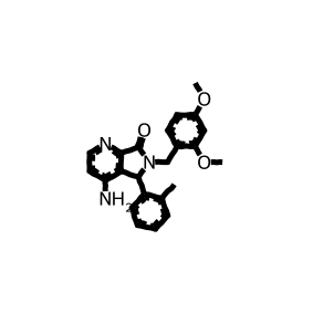 COc1ccc(CN2C(=O)c3nccc(N)c3C2c2ccccc2C)c(OC)c1